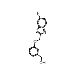 OCc1cccc(OCc2nc3ccc(F)cc3s2)c1